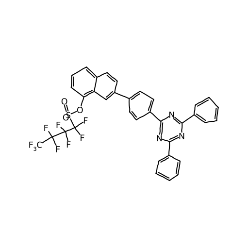 O=S(=O)(Oc1cccc2ccc(-c3ccc(-c4nc(-c5ccccc5)nc(-c5ccccc5)n4)cc3)cc12)C(F)(F)C(F)(F)C(F)(F)C(F)(F)F